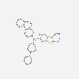 c1ccc(-c2ccc(N(c3ccc4c(ccc5ccccc54)c3)c3cc4sc5ccccc5c4cn3)cc2)cc1